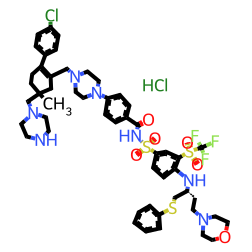 CC1(CN2CCNCC2)CCC(c2ccc(Cl)cc2)=C(CN2CCN(c3ccc(C(=O)NS(=O)(=O)c4ccc(N[C@H](CCN5CCOCC5)CSc5ccccc5)c(S(=O)(=O)C(F)(F)F)c4)cc3)CC2)C1.Cl